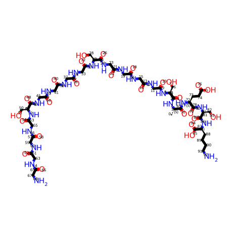 C[C@H](NC(=O)[C@H](CO)NC(=O)CNC(=O)CNC(=O)CNC(=O)CNC(=O)[C@H](CO)NC(=O)CNC(=O)CNC(=O)CNC(=O)CNC(=O)[C@H](CO)NC(=O)CNC(=O)CNC(=O)CNC(=O)CN)C(=O)N[C@@H](CCC(=O)O)C(=O)N[C@@H](CO)C(=O)N[C@@H](CCCCN)C(=O)O